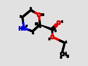 CCOC(=O)[C@@H]1CNCCO1